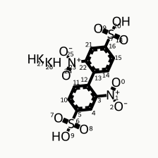 O=[N+]([O-])c1cc(S(=O)(=O)O)ccc1-c1ccc(S(=O)(=O)O)cc1[N+](=O)[O-].[KH].[KH]